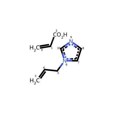 C=CC(=O)O.C=CCn1ccnc1